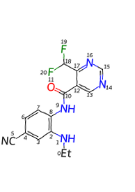 CCNc1cc(C#N)ccc1NC(=O)c1cncnc1C(F)F